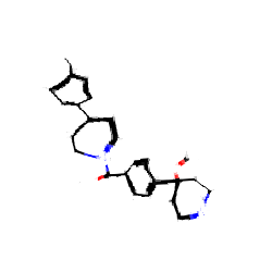 CCOC1(c2ccc(C(=O)N3CCC(c4ccc(C(F)(F)F)cc4)CC3)cc2)CCNCC1